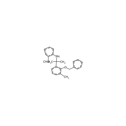 Cc1cccc(C(C)(C)Pc2ccccc2C=O)c1OCc1ccccc1